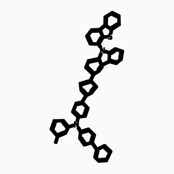 Cc1cccc(N(c2ccc(-c3ccccc3)cc2)c2ccc(-c3ccc(-c4ccc5c(c4)c4ccccc4n5-c4cccc5c4sc4ccccc45)cc3)cc2)c1